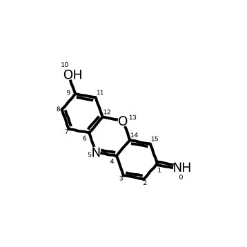 N=c1ccc2nc3ccc(O)cc3oc-2c1